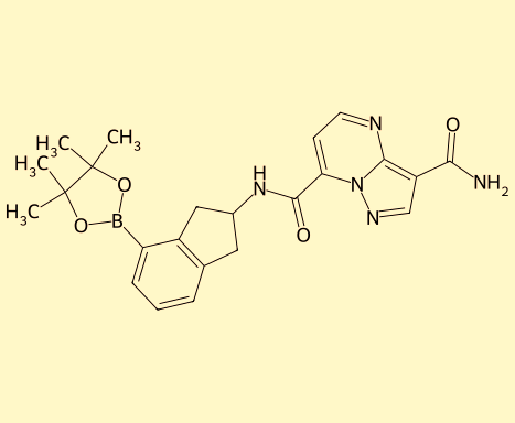 CC1(C)OB(c2cccc3c2CC(NC(=O)c2ccnc4c(C(N)=O)cnn24)C3)OC1(C)C